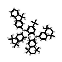 CC(C)(C)c1cc2c3c(c1)N(c1ccc4c(c1)C(C)(C)c1ccccc1-4)c1cc4c(cc1B3c1cc3c(cc1N2c1ccc2c(c1)C(C)(C)CCC2(C)C)C(C)(C)CCC3(C)C)C(C)(C)CC4(C)C